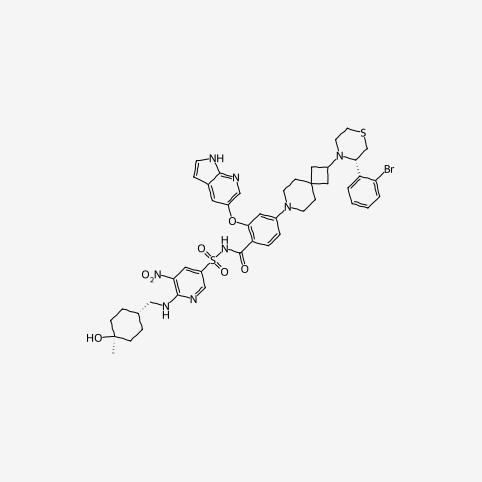 C[C@]1(O)CC[C@H](CNc2ncc(S(=O)(=O)NC(=O)c3ccc(N4CCC5(CC4)CC(N4CCSC[C@@H]4c4ccccc4Br)C5)cc3Oc3cnc4[nH]ccc4c3)cc2[N+](=O)[O-])CC1